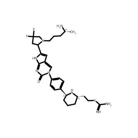 C[C@@H](N)CCCN1CC(F)(F)CC1c1cc2cn(-c3ccc([C@@H]4CCC[C@@H](CCSC(=N)N)N4)cc3)c(=O)nc2[nH]1